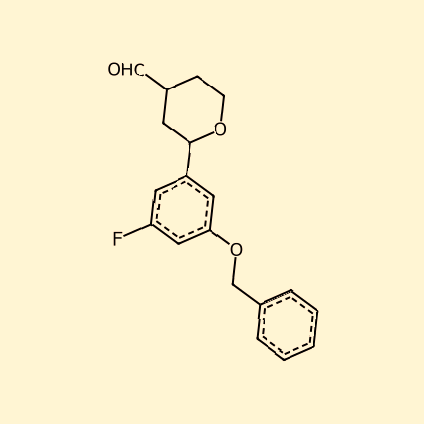 O=CC1CCOC(c2cc(F)cc(OCc3ccccc3)c2)C1